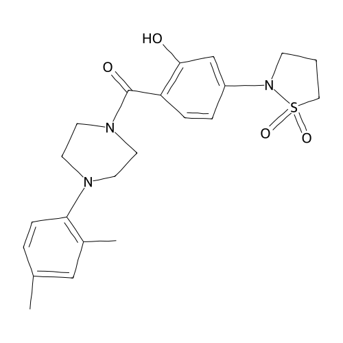 Cc1ccc(N2CCN(C(=O)c3ccc(N4CCCS4(=O)=O)cc3O)CC2)c(C)c1